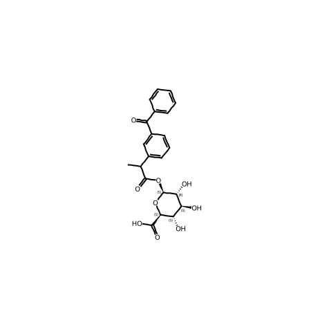 CC(C(=O)O[C@@H]1O[C@H](C(=O)O)[C@@H](O)[C@H](O)[C@H]1O)c1cccc(C(=O)c2ccccc2)c1